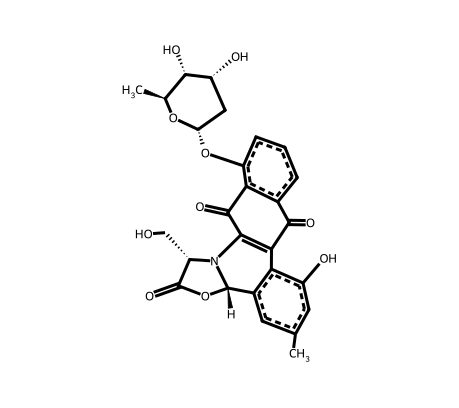 Cc1cc(O)c2c(c1)[C@@H]1OC(=O)[C@H](CO)N1C1=C2C(=O)c2cccc(O[C@H]3C[C@@H](O)[C@@H](O)[C@H](C)O3)c2C1=O